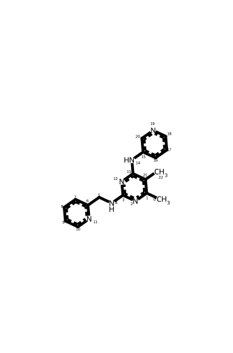 Cc1nc(NCc2ccccn2)nc(Nc2cccnc2)c1C